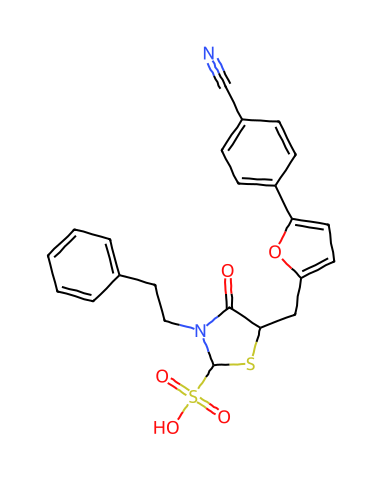 N#Cc1ccc(-c2ccc(CC3SC(S(=O)(=O)O)N(CCc4ccccc4)C3=O)o2)cc1